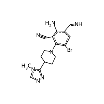 Cn1cnnc1C1CCN(c2c(Br)cc(C=N)c(N)c2C#N)CC1